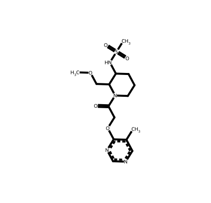 COCC1C(NS(C)(=O)=O)CCCN1C(=O)COc1ncncc1C